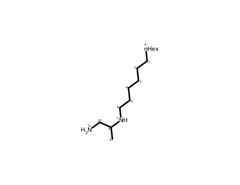 CCCCCCCCCCCCNC(C)CN